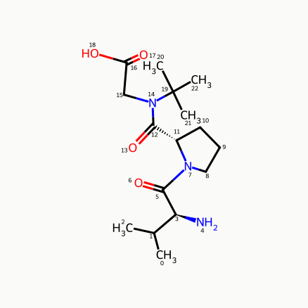 CC(C)[C@H](N)C(=O)N1CCC[C@H]1C(=O)N(CC(=O)O)C(C)(C)C